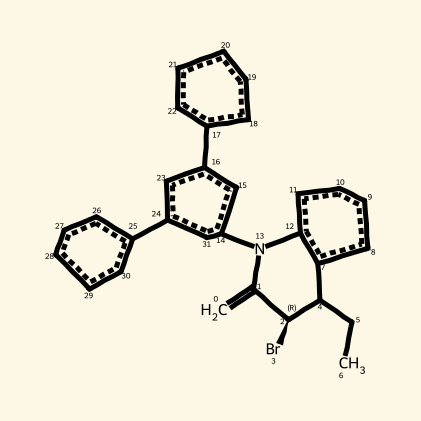 C=C1[C@H](Br)C(CC)c2ccccc2N1c1cc(-c2ccccc2)cc(-c2ccccc2)c1